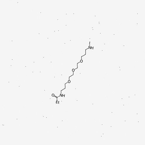 CCC(=O)NCCCOCCOCCOCCCNI